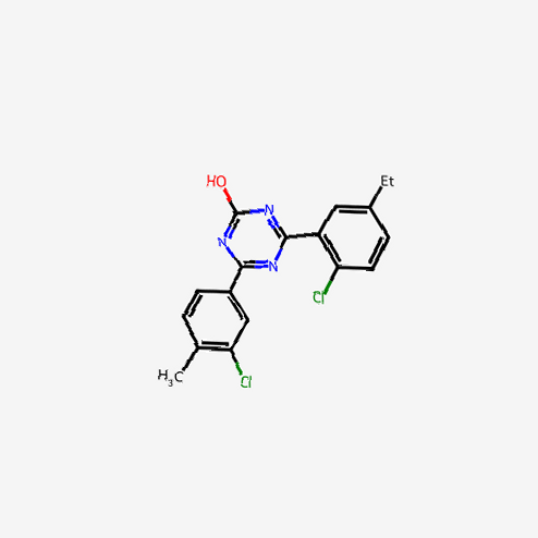 CCc1ccc(Cl)c(-c2nc(O)nc(-c3ccc(C)c(Cl)c3)n2)c1